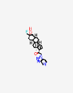 C[C@]12CC[C@H]3[C@@H](CC[C@@H]4C[C@@](O)(CF)CC[C@@H]43)[C@@H]1CC[C@@H]2C(=O)Cn1nnc2cnccc21